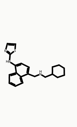 c1ccc2c(Nc3nccs3)ccc(CNCC3CCCCC3)c2c1